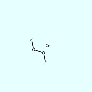 FOOF.[Cr]